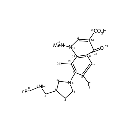 CCCNCC1CCN(c2c(F)cc3c(=O)c(C(=O)O)cn(NC)c3c2F)C1